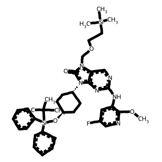 COc1ncc(F)cc1Nc1ncc2c(n1)n([C@H]1CC[C@H](O[Si](c3ccccc3)(c3ccccc3)C(C)(C)C)CC1)c(=O)n2COCC[Si](C)(C)C